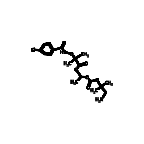 CC(OC(=O)OC(C)(C)CN)OC(=O)C(C)(C)ONC(=O)c1ccc(Cl)cc1